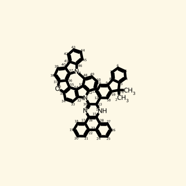 CC1(C)c2ccccc2-c2ccc(C3Nc4c(c5ccccc5c5ccccc45)N=C3n3c4ccc5oc6ccc7c8ccccc8n8c9cccc3c9c4c5c6c78)cc21